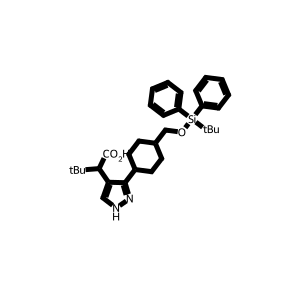 CC(C)(C)C(C(=O)O)c1c[nH]nc1C1CCC(CO[Si](c2ccccc2)(c2ccccc2)C(C)(C)C)CC1